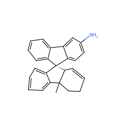 CC12CCC=CC1[C@@]1(c3ccccc3-c3cc(N)ccc31)c1ccccc12